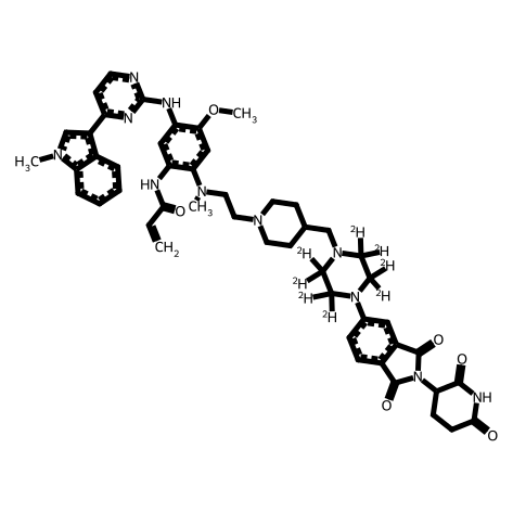 [2H]C1([2H])N(CC2CCN(CCN(C)c3cc(OC)c(Nc4nccc(-c5cn(C)c6ccccc56)n4)cc3NC(=O)C=C)CC2)C([2H])([2H])C([2H])([2H])N(c2ccc3c(c2)C(=O)N(C2CCC(=O)NC2=O)C3=O)C1([2H])[2H]